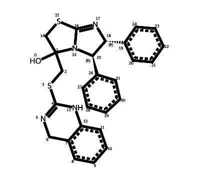 OC1(CSC2=NCc3ccccc3N2)CSC2=N[C@H](c3ccccc3)[C@@H](c3ccccc3)N21